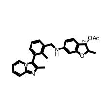 CC(=O)O[C@H]1c2ccc(NCc3cccc(-c4c(C)nc5ccccn45)c3C)cc2OC1C